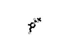 CC1CN(C(=O)OC(C)(C)C)CC/C1=C\C=O